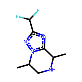 CC1NCC(C)n2nc(C(F)F)nc21